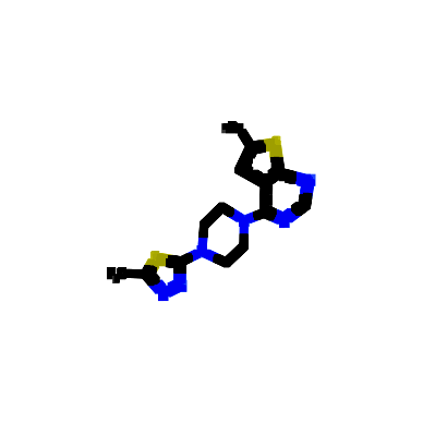 CCCCc1cc2c(N3CCN(c4nnc(C(F)(F)F)s4)CC3)ncnc2s1